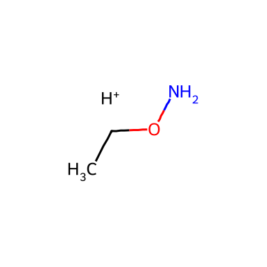 CCON.[H+]